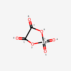 O=C1O[Te](=O)(=O)OC1=O